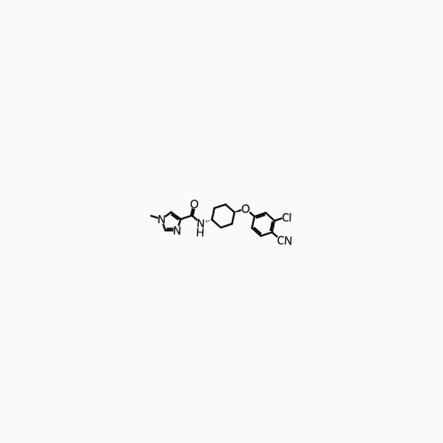 Cn1cnc(C(=O)N[C@H]2CC[C@H](Oc3ccc(C#N)c(Cl)c3)CC2)c1